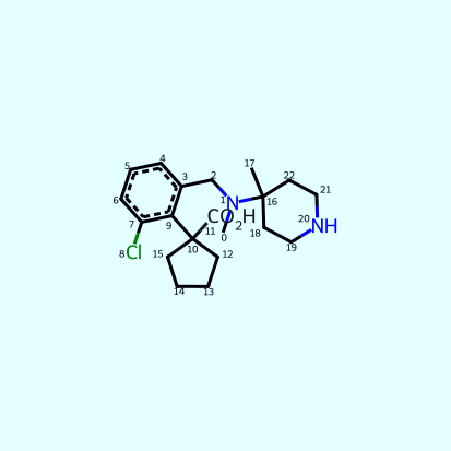 CN(Cc1cccc(Cl)c1C1(C(=O)O)CCCC1)C1(C)CCNCC1